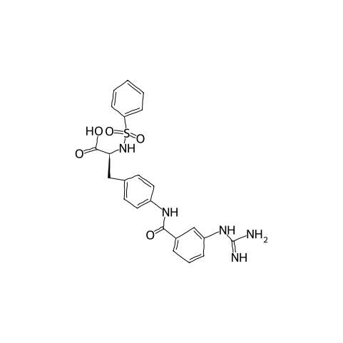 N=C(N)Nc1cccc(C(=O)Nc2ccc(C[C@H](NS(=O)(=O)c3ccccc3)C(=O)O)cc2)c1